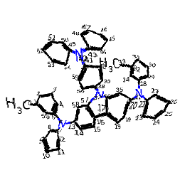 Cc1cccc(N(c2ccccc2)c2ccc3c4ccc(N(c5ccccc5)c5cccc(C)c5)cc4n(-c4ccc(N(c5ccccc5)c5ccccc5)cc4)c3c2)c1